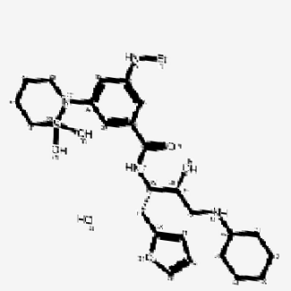 CCNc1cc(C(=O)N[C@@H](Cc2ccco2)[C@@H](O)CNC2CCCCC2)cc(N2CCCCS2(O)O)c1.Cl